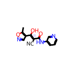 Cc1oncc1/C(O)=C(\C#N)C(=O)Nc1cccnc1